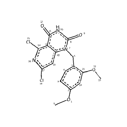 COc1ccc(Cn2c(=O)[nH]c(=O)c3c(Cl)nc(Cl)cc32)c(OC)c1